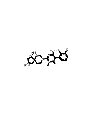 Cn1c(N2CCC3(CC2)C[C@H](F)C[C@H]3N)nc(N)c(-c2cccc(Cl)c2Cl)c1=O